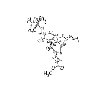 COC(=O)C12CC(N3C=C4CC(OC)CCC4(c4ccc(CCC(C)(C)C)c(Cl)c4)NC3=O)(C1)C2